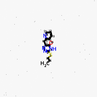 C=CCSc1nnc(Cc2ccccn2)c(=O)[nH]1